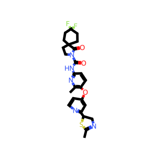 CC1=NCC(c2cc(Oc3ccc(NC(=O)N4CCC5(CCC(F)(F)CC5)C4=O)nc3C)ccn2)S1